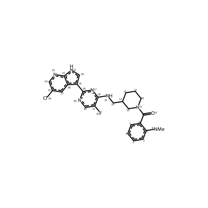 CNc1ccccc1C(=O)N1CCCC(CNc2nc(-c3c[nH]c4ncc(Cl)cc34)ncc2F)C1